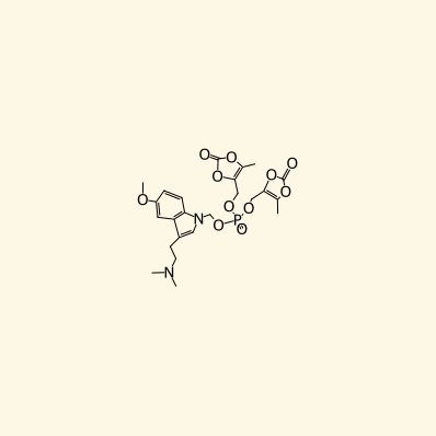 COc1ccc2c(c1)c(CCN(C)C)cn2COP(=O)(OCc1oc(=O)oc1C)OCc1oc(=O)oc1C